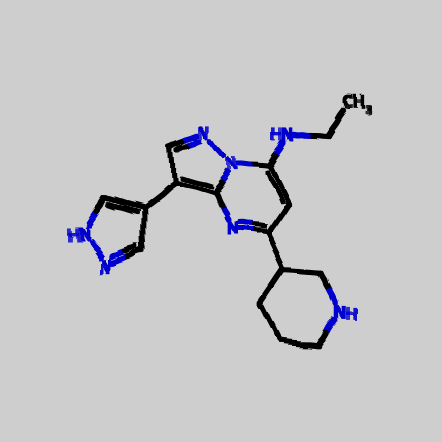 CCNc1cc(C2CCCNC2)nc2c(-c3cn[nH]c3)cnn12